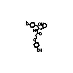 COc1ccc([C@@H](O)[C@@H](CN2CCCC2)NC(=O)CCOc2ccc(O)cc2)cc1